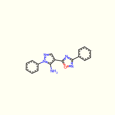 Nc1c(-c2nc(-c3cc[c]cc3)no2)cnn1-c1ccccc1